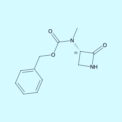 CN(C(=O)OCc1ccccc1)[C@H]1CNC1=O